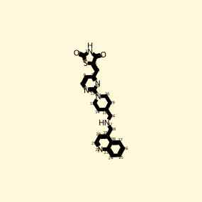 O=C1NC(=O)/C(=C/c2ccnc(N3CCC(CNCc4ccnc5ccccc45)CC3)n2)S1